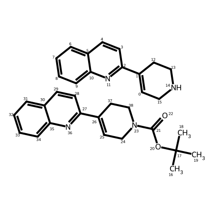 C1=C(c2ccc3ccccc3n2)CCNC1.CC(C)(C)OC(=O)N1CC=C(c2ccc3ccccc3n2)CC1